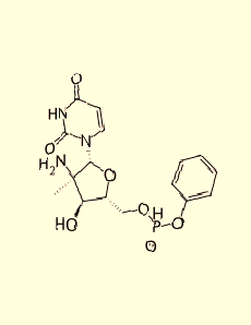 C[C@@]1(N)[C@H](O)[C@@H](CO[PH](=O)Oc2ccccc2)O[C@H]1n1ccc(=O)[nH]c1=O